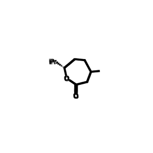 CC1CC[C@@H](C(C)C)OC(=O)C1